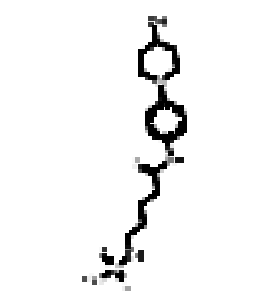 CC(C)(C)S(=O)(=O)NCCCCC(=O)Nc1ccc(N2CCC(O)CC2)cc1